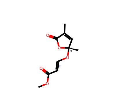 COC(=O)/C=C/O[C@@]1(C)C=C(C)C(=O)O1